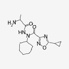 CC(N)C(=O)NN(C(=O)c1noc(C2CC2)n1)C1CCCCC1